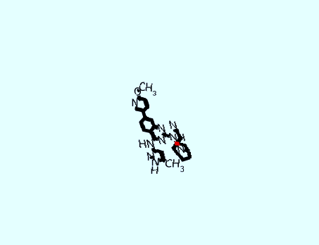 COc1ccc(-c2ccc3c(Nc4cc(C)[nH]n4)nc(NC4CC5CCC(C4)N5CCC#N)nc3c2)cn1